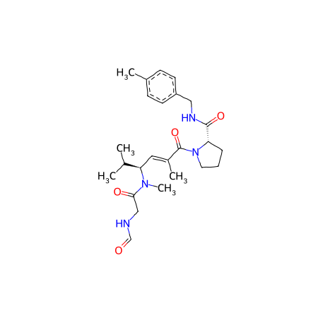 C/C(=C\[C@H](C(C)C)N(C)C(=O)CNC=O)C(=O)N1CCC[C@H]1C(=O)NCc1ccc(C)cc1